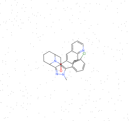 Cn1nc2c(c1-c1cccc(Cl)c1)CC1CCCC2N1C(=O)c1ccc2ncccc2c1